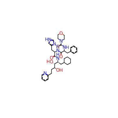 O=C(N[C@@H](CC1CCCCC1)[C@@H](O)[C@@H](O)CCc1ccccn1)C(Cc1c[nH]cn1)NC(=O)C(Cc1ccccc1)NC(=S)N1CCOCC1